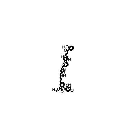 Cn1c(=O)n(C2CCC(=O)NC2=O)c2ccc(CCCNCc3cn(Cc4cccc(N5C[C@H]6C[C@@H]5CN6/C=C/C(=O)c5ccccc5O)n4)nn3)cc21